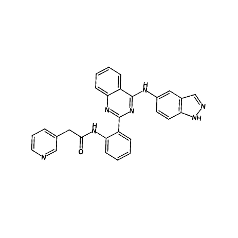 O=C(Cc1cccnc1)Nc1ccccc1-c1nc(Nc2ccc3[nH]ncc3c2)c2ccccc2n1